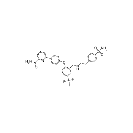 NC(=O)c1cccc(-c2ccc(Oc3ccc(C(F)(F)F)cc3CNCCc3ccc(S(N)(=O)=O)cc3)cc2)n1